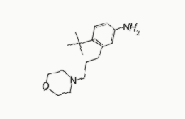 CC(C)(C)c1ccc(N)cc1CCCN1CCOCC1